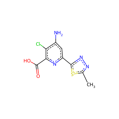 Cc1nnc(-c2cc(N)c(Cl)c(C(=O)O)n2)s1